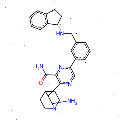 NC(=O)c1nc(-c2cccc(CN[C@H]3CCc4ccccc43)c2)cnc1C1C2CCN(CC2)C1N